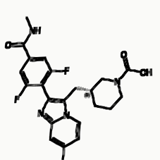 CNC(=O)c1cc(F)c(-c2nc3cc(C)ccn3c2C[C@H]2CCCN(C(=O)O)C2)c(F)c1